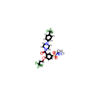 CNS(=O)(=O)c1ccc(OCCC(F)(F)F)c(C(=O)N2CCN(c3ccc(C(F)(F)F)cc3)CC2)c1